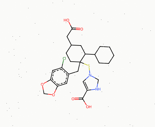 O=C(O)CC1CCC(Cc2cc3c(cc2Cl)OCO3)(SN2C=C(C(=O)O)NC2)C(C2CCCCC2)C1